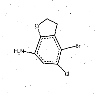 Nc1cc(Cl)c(Br)c2c1OCC2